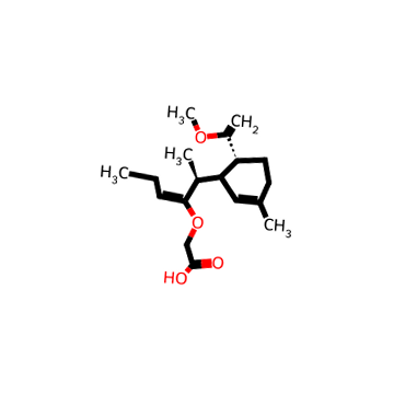 C=C(OC)[C@@H]1CCC(C)=CC1[C@H](C)/C(=C\CC)OCC(=O)O